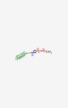 CCOC(=O)C=COC(=O)c1ccc(NCCCC=CC(F)(F)C(F)(F)C(F)(F)C(F)(F)C(F)(F)C(F)(F)C(F)(F)F)cc1